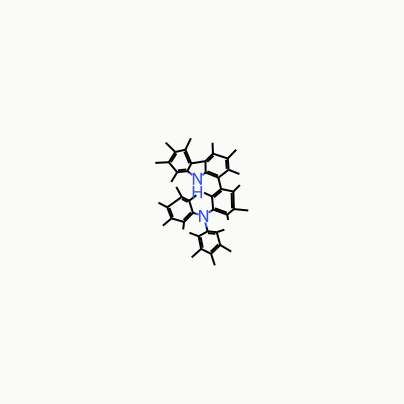 Cc1c(C)c(C)c(N(c2c(C)c(C)c(C)c(C)c2C)c2c(C)c(C)c(C)c(-c3c(C)c(C)c(C)c4c3[nH]c3c(C)c(C)c(C)c(C)c34)c2C)c(C)c1C